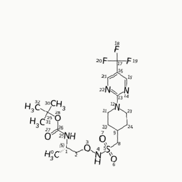 C[C@@H](CONS(=O)(=O)CC1CCN(c2ncc(C(F)(F)F)cn2)CC1)NC(=O)OC(C)(C)C